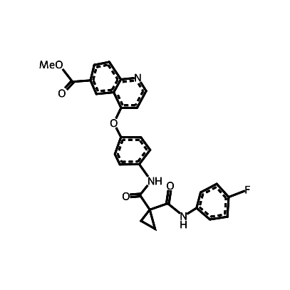 COC(=O)c1ccc2nccc(Oc3ccc(NC(=O)C4(C(=O)Nc5ccc(F)cc5)CC4)cc3)c2c1